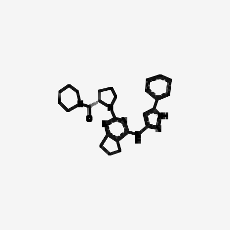 O=C([C@@H]1CCCN1c1nc2c(c(Nc3cc(-c4ccccc4)[nH]n3)n1)CCC2)N1CCCCC1